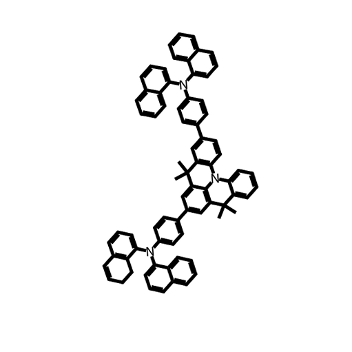 CC1(C)c2ccccc2N2c3ccc(-c4ccc(N(c5cccc6ccccc56)c5cccc6ccccc56)cc4)cc3C(C)(C)c3cc(-c4ccc(N(c5cccc6c5CCC=C6)c5cccc6ccccc56)cc4)cc1c32